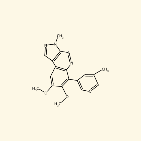 COc1cc2c(nnc3c2cnn3C)c(-c2cncc(C)c2)c1OC